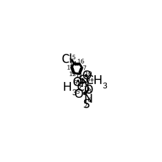 C[N+](C)(OC(=O)N=S)S(=O)(=O)c1ccc(Cl)cc1